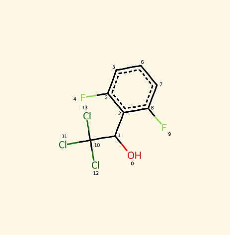 OC(c1c(F)cccc1F)C(Cl)(Cl)Cl